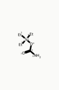 CC[Si](CC)(CC)OC(N)=O